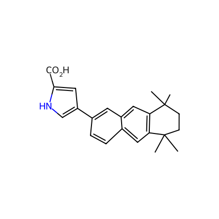 CC1(C)CCC(C)(C)c2cc3cc(-c4c[nH]c(C(=O)O)c4)ccc3cc21